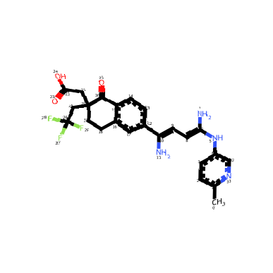 Cc1ccc(N/C(N)=C/C=C(\N)c2ccc3c(c2)CCC(CC(=O)O)(CC(F)(F)F)C3=O)cn1